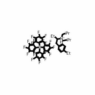 CCc1ccc(CC(CC)[NH+](CC(C)C)CC(C)C)cc1.Fc1c(F)c(F)c([B-](c2c(F)c(F)c(F)c(F)c2F)(c2c(F)c(F)c(F)c(F)c2F)c2c(F)c(F)c(F)c(F)c2F)c(F)c1F